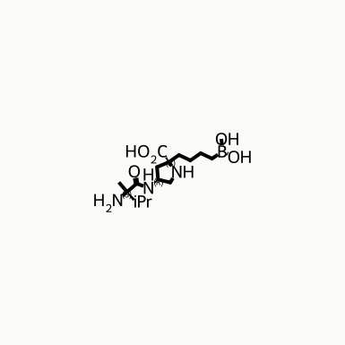 CC(C)[C@](C)(N)C(=O)N[C@H]1CN[C@@](CCCCB(O)O)(C(=O)O)C1